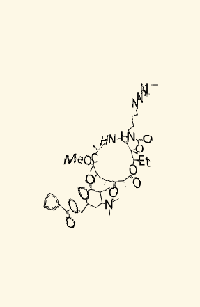 CC[C@H]1OC(=O)[C@H](C)C(=O)[C@H](C)[C@@H](O[C@@H]2OC(COC(=O)c3ccccc3)CC(N(C)C)C2C)[C@](C)(OC)C[C@@H](C)CN[C@H](C)[C@H]2N(CCCCN=[N+]=[N-])C(=O)O[C@]12C